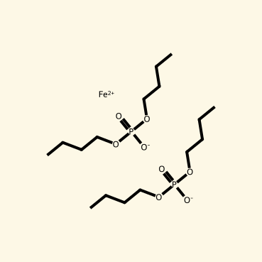 CCCCOP(=O)([O-])OCCCC.CCCCOP(=O)([O-])OCCCC.[Fe+2]